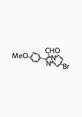 COc1ccc(-c2nc3cc(Br)ccn3c2C=O)cc1